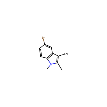 Cc1c(C#N)c2cc(Br)ccc2n1C